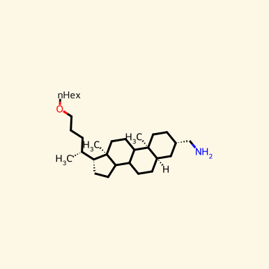 CCCCCCOCCC[C@@H](C)[C@H]1CCC2C3CC[C@@H]4C[C@@H](CN)CC[C@]4(C)C3CC[C@@]21C